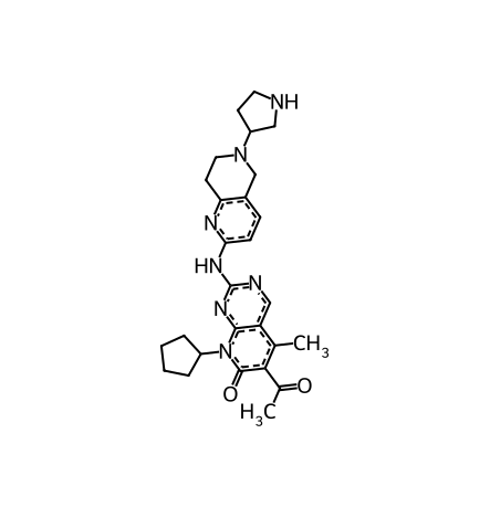 CC(=O)c1c(C)c2cnc(Nc3ccc4c(n3)CCN(C3CCNC3)C4)nc2n(C2CCCC2)c1=O